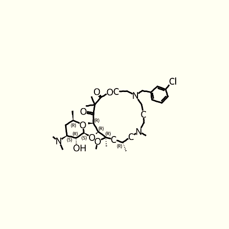 CO[C@]1(C)C[C@@H](C)CN(C)CCCN(Cc2cccc(Cl)c2)CCOC(=O)C(C)(C)C(=O)[C@H](C)[C@H]1O[C@@H]1O[C@H](C)C[C@H](N(C)C)[C@H]1O